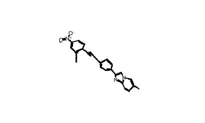 Cc1ccc2nc(-c3ccc(/C=C/c4ccc([N+](=O)[O-])cc4C)cc3)cn2c1